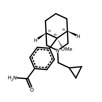 CO[C@@]1(c2ccc(C(N)=O)cc2)[C@@H]2CCC[C@H]1CN(CC1CC1)C2